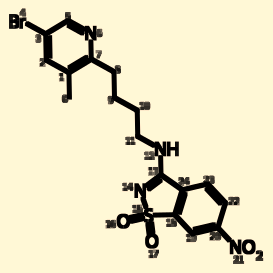 Cc1cc(Br)cnc1CCCCNC1=NS(=O)(=O)c2cc([N+](=O)[O-])ccc21